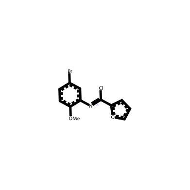 COc1ccc(Br)cc1/N=C(\Cl)c1ccco1